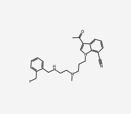 CC(=O)c1cn(CCCN(C)CCNCc2ccccc2CI)c2c(C#N)cccc12